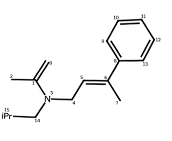 C=C(C)N(C/C=C(\C)c1ccccc1)CC(C)C